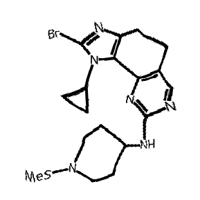 CSN1CCC(Nc2ncc3c(n2)-c2c(nc(Br)n2C2CC2)CC3)CC1